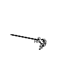 C=C[Si](C)(C)O[Si](C)(C)O[Si](C)(CCCNC(=O)C#CC#CC#CC#CC#CC#CC#CC#CC)O[Si](C)(C)C=C